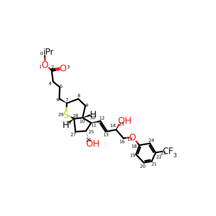 CC(C)OC(=O)CCC[C@H]1CC[C@@H]2[C@@H](/C=C/[C@@H](O)COc3cccc(C(F)(F)F)c3)[C@H](O)C[C@@H]2S1